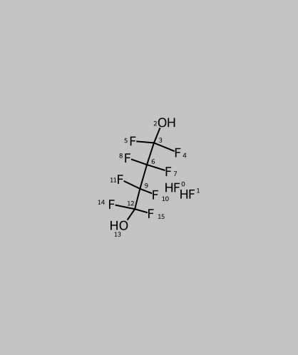 F.F.OC(F)(F)C(F)(F)C(F)(F)C(O)(F)F